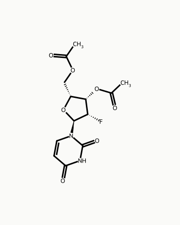 CC(=O)OC[C@H]1O[C@H](n2ccc(=O)[nH]c2=O)[C@@H](F)[C@H]1OC(C)=O